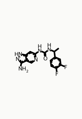 CC(NC(=O)Nc1cc2[nH]nc(N)c2cn1)c1ccc(F)c(F)c1